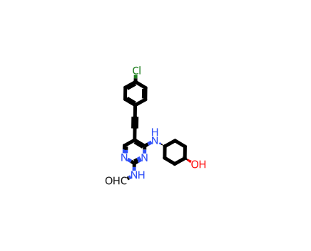 O=CNc1ncc(C#Cc2ccc(Cl)cc2)c(N[C@H]2CC[C@H](O)CC2)n1